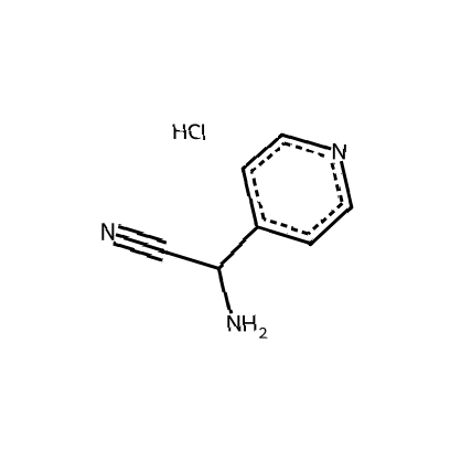 Cl.N#CC(N)c1ccncc1